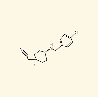 C[C@]1(CC#N)CC[C@@H](NCc2ccc(Cl)cc2)CC1